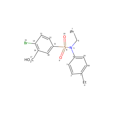 CCc1ccc(N(CC(C)C)S(=O)(=O)c2ccc(Br)c(C(=O)O)c2)cc1